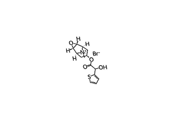 C[N+]1(C)[C@@H]2C[C@@H](OC(=O)C(O)c3cccs3)C[C@H]1[C@@H]1O[C@@H]12.[Br-]